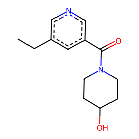 CCc1cncc(C(=O)N2CCC(O)CC2)c1